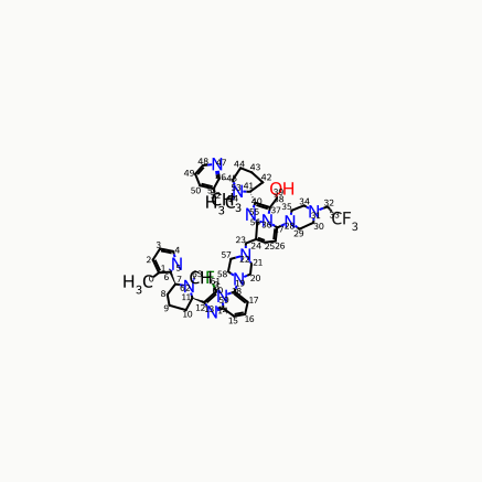 Cc1cccnc1[C@@H]1CCC[C@H](c2nc3cccc(N4CCN(Cc5ccc(N6CCN(CC(F)(F)F)CC6)n6c(CO)c([C@H]7CCC[C@@H](c8ncccc8C)N7C)nc56)CC4)n3c2F)N1C